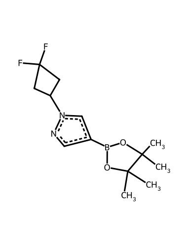 CC1(C)OB(c2cnn(C3CC(F)(F)C3)c2)OC1(C)C